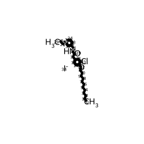 CCCCCCCCCCCCOc1ccc(CC(=O)NCc2ccc[n+](CCC)c2)cc1Cl.[I-]